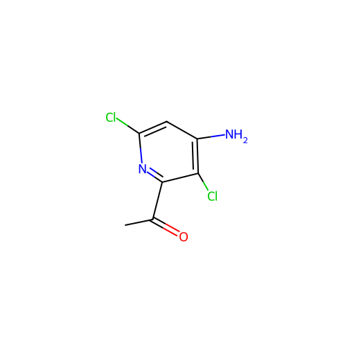 CC(=O)c1nc(Cl)cc(N)c1Cl